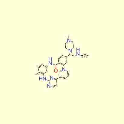 CCCNCC(c1ccc(C(=O)Nc2ccc(C)c(Nc3nccc(-c4cccnc4)n3)c2)cc1)N1CCN(C)CC1